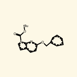 CC(C)(C)OC(=O)n1ccc2ccc(OCc3ccccc3)nc21